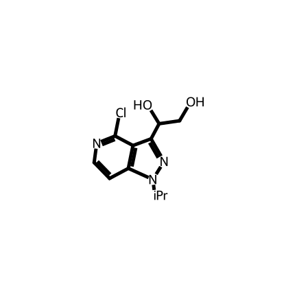 CC(C)n1nc(C(O)CO)c2c(Cl)nccc21